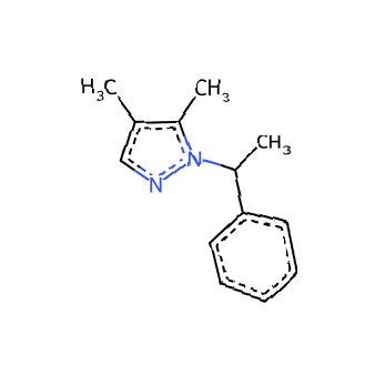 Cc1cnn(C(C)c2ccccc2)c1C